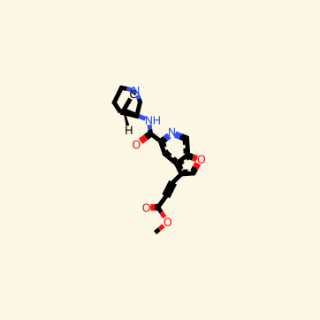 COC(=O)C#Cc1coc2cnc(C(=O)N[C@H]3CN4CCC3CC4)cc12